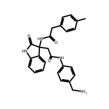 Cc1ccc(CC(=O)NC2(CC(=O)Nc3ccc(CN)cc3)C(=O)Nc3ccccc32)cc1